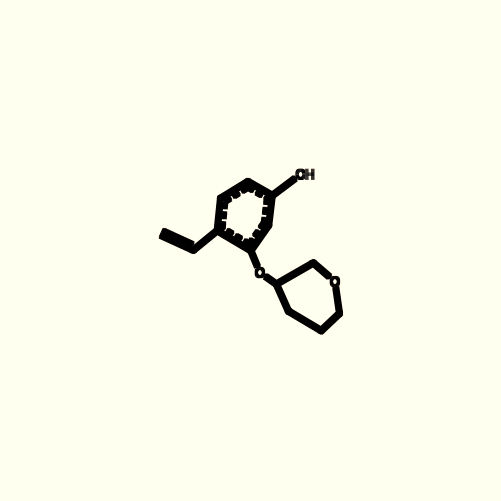 C=Cc1ccc(O)cc1OC1CCCOC1